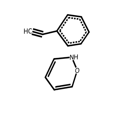 C#Cc1ccccc1.C1=CNOC=C1